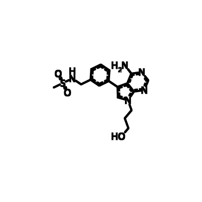 CS(=O)(=O)NCc1cccc(-c2cn(CCCO)c3ncnc(N)c23)c1